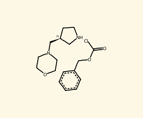 C1C[C@H](CN2CCOCC2)CN1.O=C(Cl)OCc1ccccc1